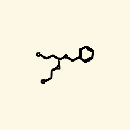 ClCCOP(CCCl)OCc1ccccc1